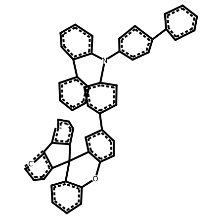 c1ccc(-c2ccc(N(c3ccc(-c4ccc5c(c4)C4(c6ccccc6O5)c5ccccc5-c5ccccc54)cc3)c3ccccc3-c3ccccc3)cc2)cc1